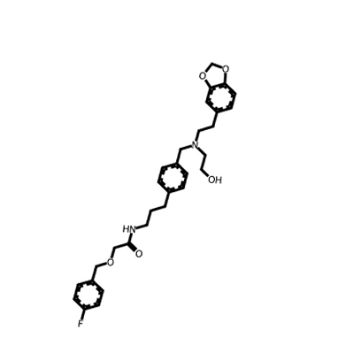 O=C(COCc1ccc(F)cc1)NCCCc1ccc(CN(CCO)CCc2ccc3c(c2)OCO3)cc1